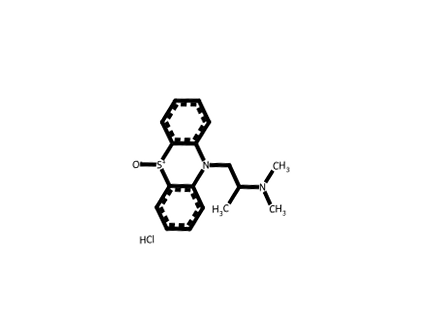 CC(CN1c2ccccc2[S+]([O-])c2ccccc21)N(C)C.Cl